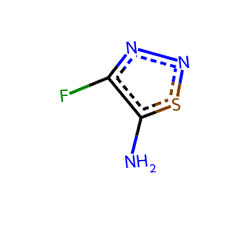 Nc1snnc1F